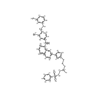 CN(CCCc1nc(-c2cc3c(Nc4ccc(OCc5cccc(F)c5)c(Br)c4)ncnc3cn2)cs1)CCS(=O)(=O)c1ccccn1